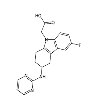 O=C(O)Cn1c2c(c3cc(F)ccc31)CC(Nc1ncccn1)CC2